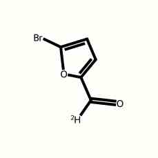 [2H]C(=O)c1ccc(Br)o1